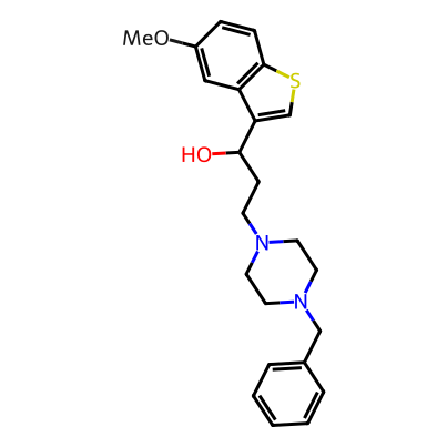 COc1ccc2scc(C(O)CCN3CCN(Cc4ccccc4)CC3)c2c1